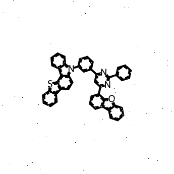 c1ccc(-c2nc(-c3cccc(-n4c5ccccc5c5c6sc7ccccc7c6ccc54)c3)cc(-c3cccc4c3oc3ccccc34)n2)cc1